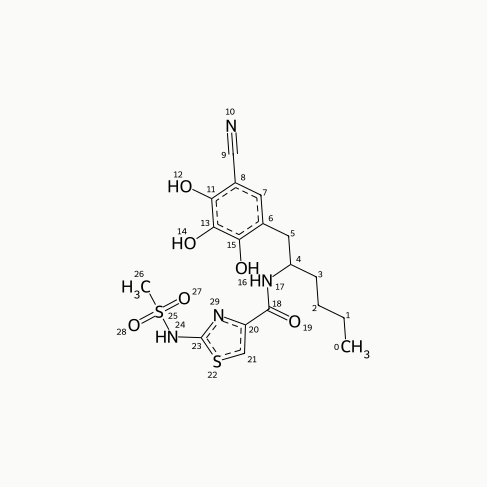 CCCCC(Cc1cc(C#N)c(O)c(O)c1O)NC(=O)c1csc(NS(C)(=O)=O)n1